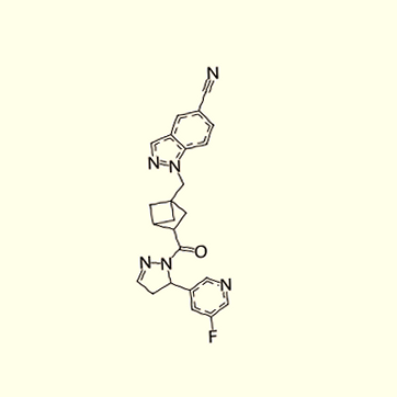 N#Cc1ccc2c(cnn2CC23CC(C2)C(C(=O)N2N=CCC2c2cncc(F)c2)C3)c1